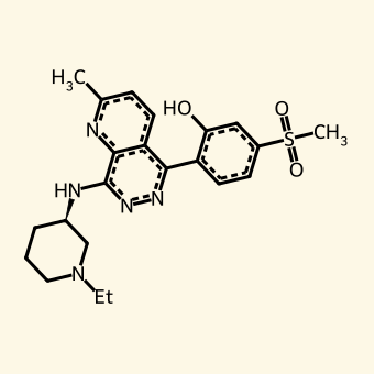 CCN1CCC[C@@H](Nc2nnc(-c3ccc(S(C)(=O)=O)cc3O)c3ccc(C)nc23)C1